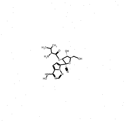 CC(C)[C@H](N)C(=O)O[C@@H]1[C@H](O)[C@@H](CO)O[C@@]1(C#N)c1ccc2c(NO)ncnn12